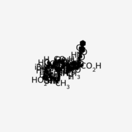 CC[C@H](C)[C@H](NC(=O)[C@H](CO)NC(=O)[C@H](Cc1ccc(O)cc1)NC(=O)[C@H](CC(=O)O)NC(=O)[C@H](CO)NC(=O)[C@@H](NC(=O)[C@H](Cc1ccccc1)NC(=O)[C@@H](NC(=O)CNC(=O)[C@H](CCC(=O)O)NC(=O)CSCC(=O)NCCN1C(=O)CC(c2ccccc2)C1=O)[C@@H](C)O)[C@@H](C)O)C(=O)N[C@@H](Cc1ccc(O)cc1)C(=O)N[C@@H](CC(C)C)C(=O)N[C@@H](CC(=O)O)C(=O)N[C@H](C)CCCCN